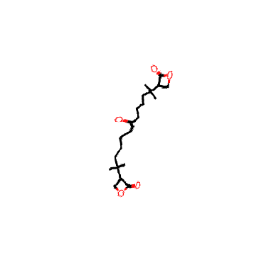 CC(C)(CCCCC(=O)CCCCC(C)(C)C1COC1=O)C1COC1=O